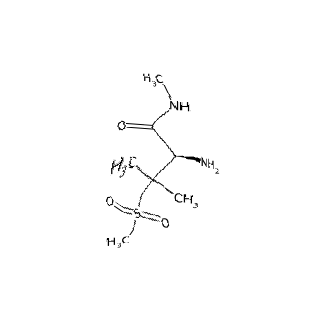 CNC(=O)[C@@H](N)C(C)(C)S(C)(=O)=O